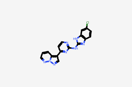 Clc1ccc2nc(Nc3nccc(-c4cnn5ncccc45)n3)[nH]c2c1